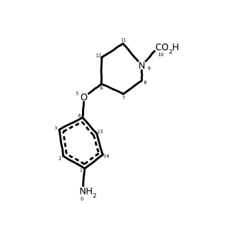 Nc1ccc(OC2CCN(C(=O)O)CC2)cc1